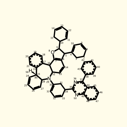 C1=CCCC(C2C3=C(OC2C2C=CC=CC2)C2c4ccccc4[C@H]4C=CC=CC4N(C4=CC=CC(c5nc(-c6ccccc6)c6ccccc6n5)C4)C2C=C3)=C1